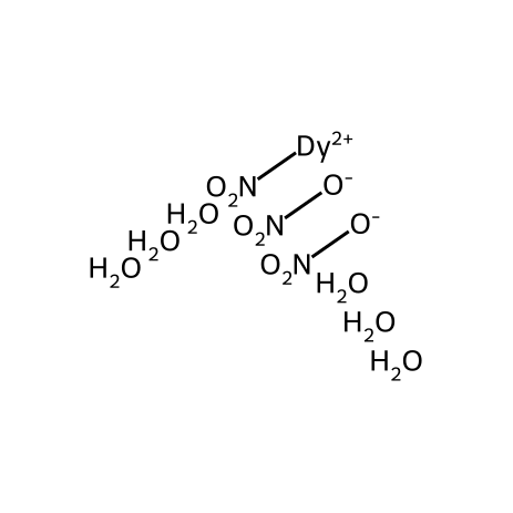 O.O.O.O.O.O.O=[N+]([O-])[Dy+2].O=[N+]([O-])[O-].O=[N+]([O-])[O-]